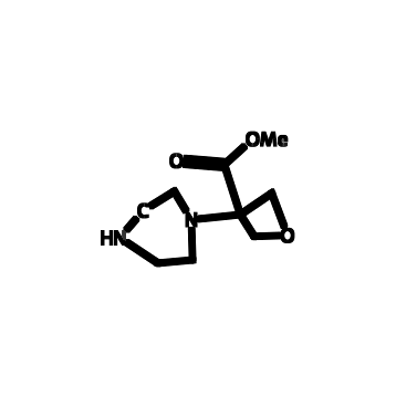 COC(=O)C1(N2CCNCC2)COC1